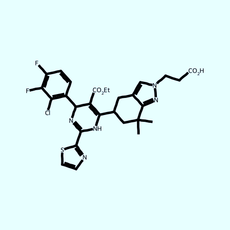 CCOC(=O)C1=C(C2Cc3cn(CCC(=O)O)nc3C(C)(C)C2)NC(c2nccs2)=NC1c1ccc(F)c(F)c1Cl